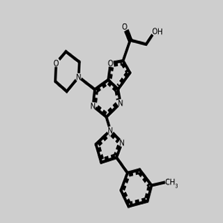 Cc1cccc(-c2ccn(-c3nc(N4CCOCC4)c4oc(C(=O)CO)cc4n3)n2)c1